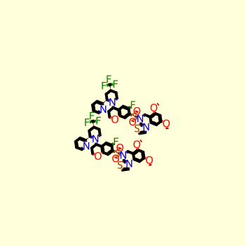 COc1ccc(CN(c2nccs2)S(=O)(=O)c2cc3c(cc2F)C(N2CC[C@@H](C(F)(F)F)C[C@H]2c2ccccn2)CCO3)c(OC)c1.COc1ccc(CN(c2nccs2)S(=O)(=O)c2cc3c(cc2F)C(N2CC[C@@H](C(F)(F)F)C[C@H]2c2ccccn2)CCO3)c(OC)c1